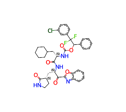 O=C(N[C@@H](CC1CCCCC1)C(=O)N[C@@H](C[C@@H]1CCNC1=O)C(=O)c1nc2ccccc2o1)OC(c1ccccc1)C(F)(F)c1cccc(Cl)c1